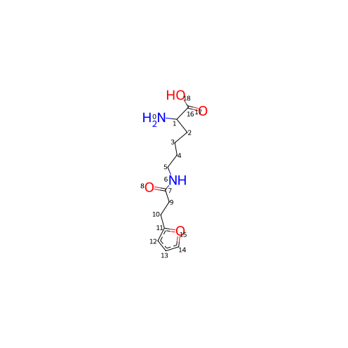 NC(CCCCNC(=O)CCc1ccco1)C(=O)O